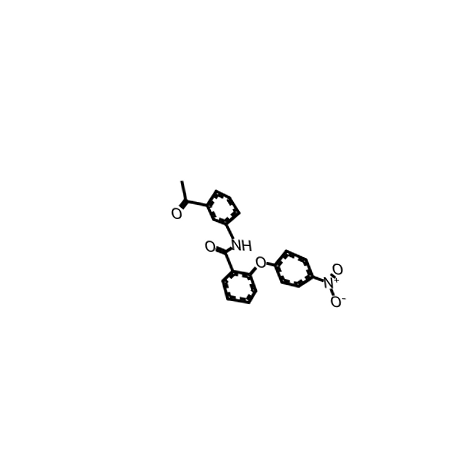 CC(=O)c1cccc(NC(=O)c2ccccc2Oc2ccc([N+](=O)[O-])cc2)c1